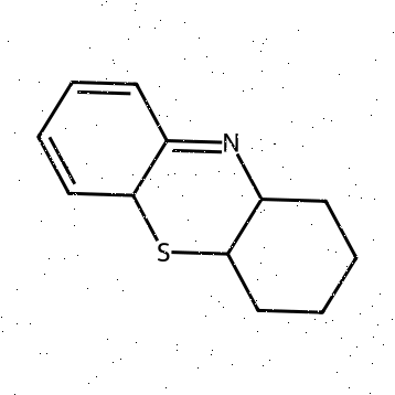 C1=CC2=NC3CCCCC3SC2C=C1